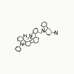 N#CC1C=Cc2c(c3ccccc3n2Cc2cccc(N)c2-c2cccc3c2sc2c3ccc3c2c2ccccc2n3-c2ccccc2)C1